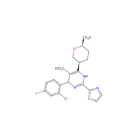 CCOC(=O)C1=C([C@@H]2CC[C@H](C(=O)O)OC2)NC(c2nccs2)=NC1c1ccc(F)cc1Cl